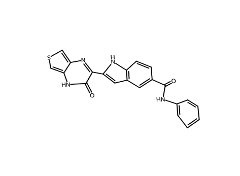 O=C(Nc1ccccc1)c1ccc2[nH]c(-c3nc4cscc4[nH]c3=O)cc2c1